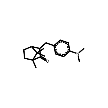 CN(C)c1ccc(CC2C(=O)C3(C)CCC2C3(C)C)cc1